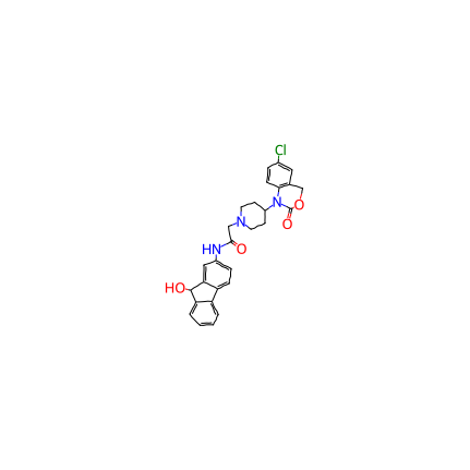 O=C(CN1CCC(N2C(=O)OCc3cc(Cl)ccc32)CC1)Nc1ccc2c(c1)C(O)c1ccccc1-2